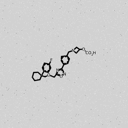 O=C(O)OC1CN(Cc2ccc(-c3noc(COCC4(c5ccc(F)cc5)CCCCC4)n3)cc2)C1